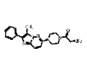 Cc1c(-c2ccccc2)nc2ccc(N3CCN(C(=O)CC(C)(C)C)CC3)nn12